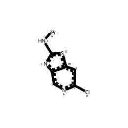 CC(C)Nc1nc2cnc(Cl)cc2s1